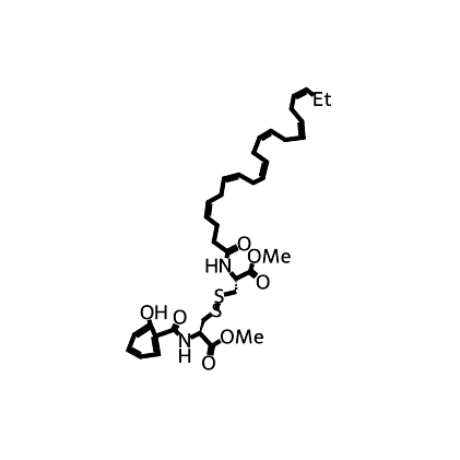 CC/C=C\C/C=C\C/C=C\C/C=C\C/C=C\C/C=C\CCC(=O)N[C@@H](CSSC[C@H](NC(=O)c1ccccc1O)C(=O)OC)C(=O)OC